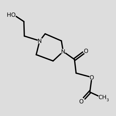 CC(=O)OCC(=O)N1CCN(CCO)CC1